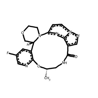 C[C@H]1CNC(=O)c2cnn3ccc(nc23)N2CCOC[C@H]2c2cc(F)cnc2O1